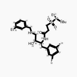 CCCCN(CC)S(=O)(=O)CCC(=O)N[C@@H](Cc1cc(F)cc(F)c1)[C@H](O)CNCc1cccc(CC)c1